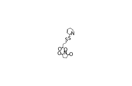 O=C(CCSSC1=NCCC=C1)ON1C(=O)CCC1=O